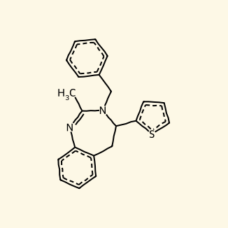 CC1=Nc2ccccc2CC(c2cccs2)N1Cc1ccccc1